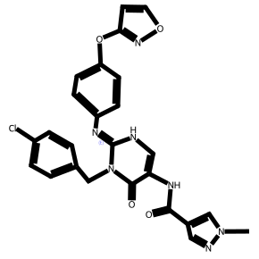 Cn1cc(C(=O)Nc2c[nH]/c(=N\c3ccc(Oc4ccon4)cc3)n(Cc3ccc(Cl)cc3)c2=O)cn1